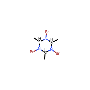 C[SiH]1N(Br)[SiH](C)N(Br)[SiH](C)N1Br